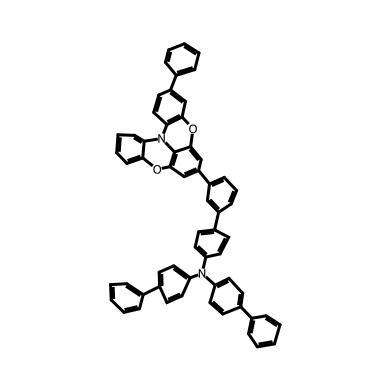 c1ccc(-c2ccc(N(c3ccc(-c4ccccc4)cc3)c3ccc(-c4cccc(-c5cc6c7c(c5)Oc5cc(-c8ccccc8)ccc5N7c5ccccc5O6)c4)cc3)cc2)cc1